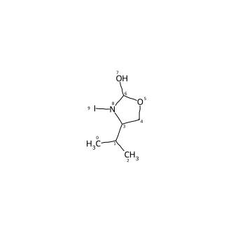 CC(C)C1COC(O)N1I